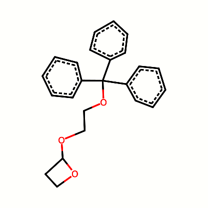 c1ccc(C(OCCOC2CCO2)(c2ccccc2)c2ccccc2)cc1